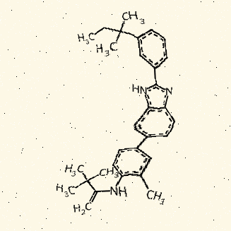 C=C(Nc1ccc(-c2ccc3nc(-c4cccc(C(C)(C)CC)c4)[nH]c3c2)cc1C)C(C)(C)C